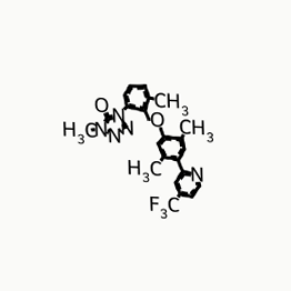 Cc1cc(-c2cc(C(F)(F)F)ccn2)c(C)cc1OCc1c(C)cccc1-n1nnn(C)c1=O